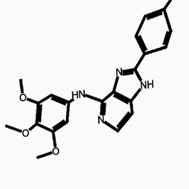 COc1cc(Nc2nccc3[nH]c(-c4ccc(C)cc4)nc23)cc(OC)c1OC